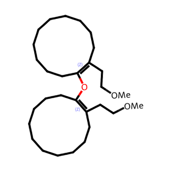 COCC/C1=C(\O/C2=C(\CCOC)CCCCCCCCCC2)CCCCCCCCCC1